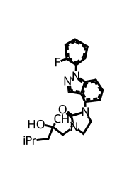 CC(C)C[C@](C)(O)CN1CCN(c2cccc3c2cnn3-c2ccccc2F)C1=O